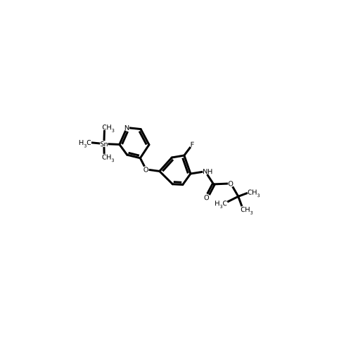 CC(C)(C)OC(=O)Nc1ccc(Oc2ccn[c]([Sn]([CH3])([CH3])[CH3])c2)cc1F